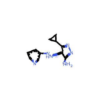 NC1=NN=C(C2CC2)/C1=N\Nc1cccnc1